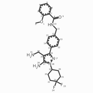 COc1ccccc1C(=O)NCc1ccc(-c2nn(C3CCC(F)(F)CC3)c(N)c2CN)cc1